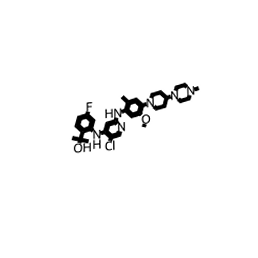 COc1cc(Nc2cc(Nc3cc(F)ccc3C(C)(C)O)c(Cl)cn2)c(C)cc1N1CCC(N2CCN(C)CC2)CC1